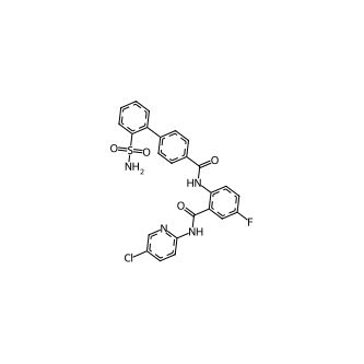 NS(=O)(=O)c1ccccc1-c1ccc(C(=O)Nc2ccc(F)cc2C(=O)Nc2ccc(Cl)cn2)cc1